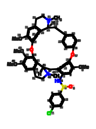 COc1cc(N[S+]([O-])c2ccc(Cl)cc2)c2cc1Oc1ccc(cc1)C[C@H]1c3cc(c(OC)cc3CCN1C)Oc1c(OC)c(OC)cc3c1[C@H](C2)N(C)CC3